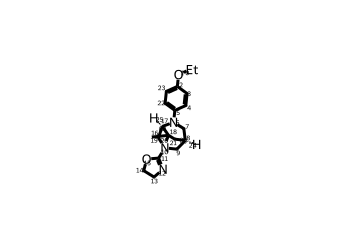 CCOc1ccc(N2C[C@H]3CN(C4=NCCO4)C[C@@H]2C(C)(C)C3)cc1